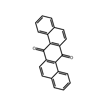 O=C1c2ccc3ccccc3c2C(=O)c2ccc3ccccc3c21